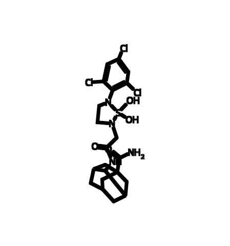 NC(=O)C12CC3CC(C1)C(NC(=O)CN1CCN(c4c(Cl)cc(Cl)cc4Cl)S1(O)O)C(C3)C2